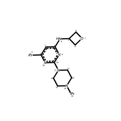 CC(C)c1cc(NC2COC2)nc(N2CCN(C(C)C)CC2)n1